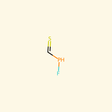 FPC=S